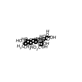 CC1(C)CC[C@]2(C(=O)O)C(O)CC3(C)C(=CCC4C5(C)CC[C@H](O[C@@H]6OC(C(=O)O)[C@@H](O)C(O)C6OCC6(O)COC(CO)[C@H](O)C6O)C(C)(C=O)[C@H]5CCC43C)C2C1